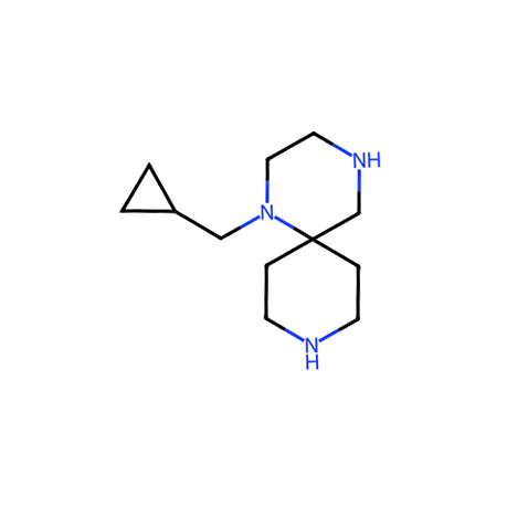 C1CC2(CCN1)CNCCN2CC1CC1